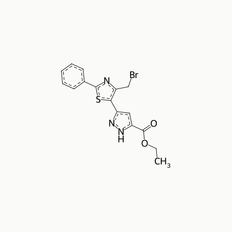 CCOC(=O)c1cc(-c2sc(-c3ccccc3)nc2CBr)n[nH]1